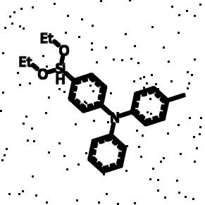 CCO[SiH](OCC)c1ccc(N(c2ccccc2)c2ccc(C)cc2)cc1